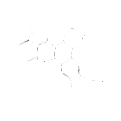 C=C(CCC)C1=CN2C(CC1=C)c1cc(CC)c(CCCCCC)cc1C1CSCCC12